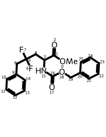 COC(=O)C(CC(F)(F)Cc1ccccc1)NC(=O)OCc1ccccc1